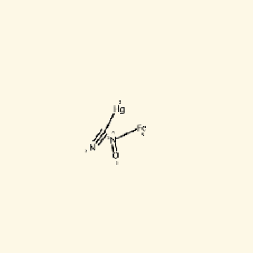 N#[C][Hg].O=[N][Fe]